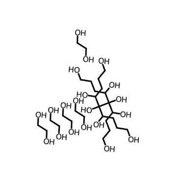 OCCCC(O)C(O)(C(O)CCCO)C(O)(C(O)CCCO)C(O)CCCO.OCCO.OCCO.OCCO.OCCO.OCCO